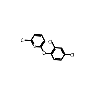 Clc1ccc(Oc2cccc(Cl)n2)c(Cl)c1